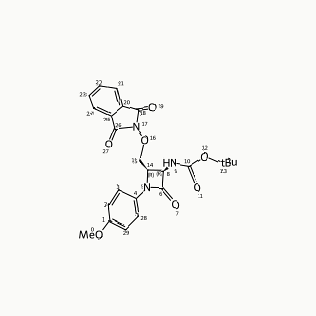 COc1ccc(N2C(=O)[C@H](NC(=O)OC(C)(C)C)[C@@H]2CON2C(=O)c3ccccc3C2=O)cc1